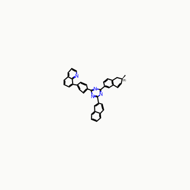 C[C@H]1C=Cc2cc(-c3nc(-c4ccc(-c5cccc6cccnc56)cc4)nc(-c4ccc5ccccc5c4)n3)ccc2C1